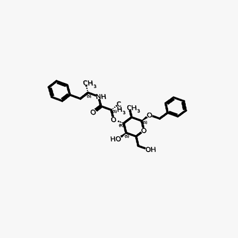 CC1[C@@H](OCc2ccccc2)OC(CO)[C@@H](O)[C@@H]1O[C@@H](C)C(=O)N[C@@H](C)Cc1ccccc1